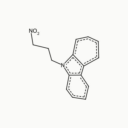 O=[N+]([O-])CCCn1c2ccccc2c2ccccc21